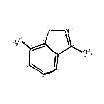 Cc1nsc2c(C)cccc12